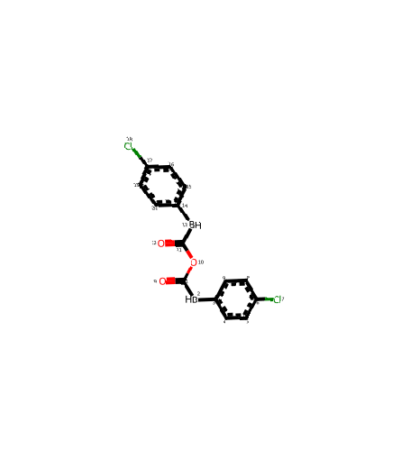 O=C(Bc1ccc(Cl)cc1)OC(=O)Bc1ccc(Cl)cc1